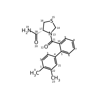 Cc1ccc(-c2ccccc2C(=O)N2CSC[C@H]2C(N)=O)cc1C